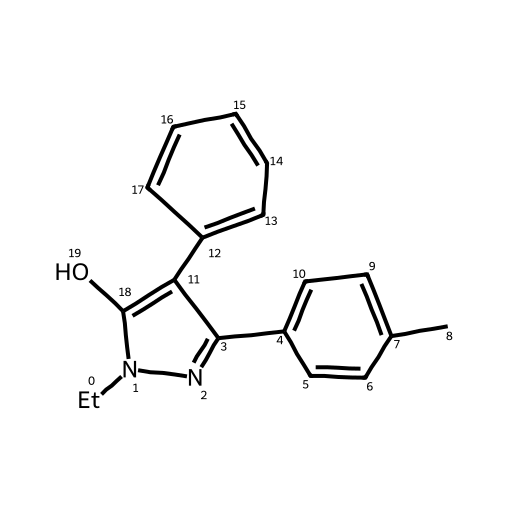 CCn1nc(-c2ccc(C)cc2)c(-c2ccccc2)c1O